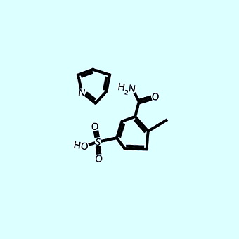 Cc1ccc(S(=O)(=O)O)cc1C(N)=O.c1ccncc1